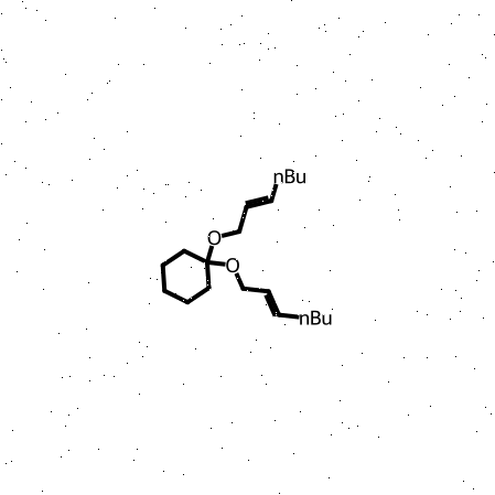 CCCCC=CCOC1(OCC=CCCCC)CCCCC1